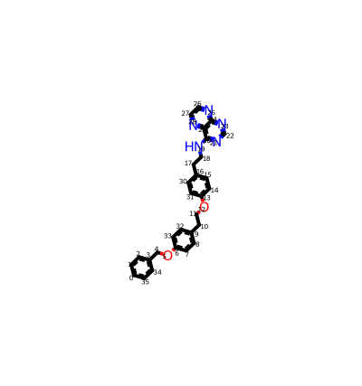 c1ccc(COc2ccc(CCOc3ccc(CCNc4ncnc5nccnc45)cc3)cc2)cc1